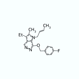 CC=CCn1c(C)c(CC)c2cnnc(OCc3ccc(F)cc3)c21